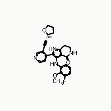 COc1c(F)cccc1Nc1c(-c2ccncc2C#C[C@H]2CCCO2)[nH]c2c1C(=O)NCC2